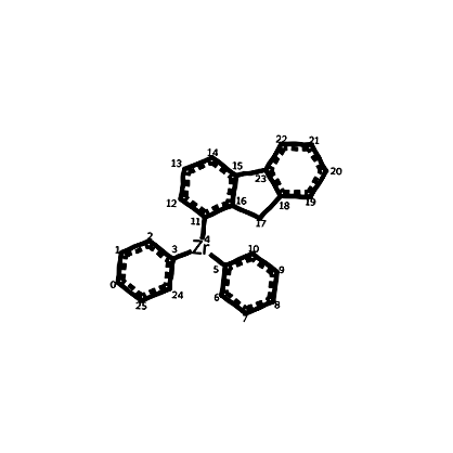 c1cc[c]([Zr]([c]2ccccc2)[c]2cccc3c2Cc2ccccc2-3)cc1